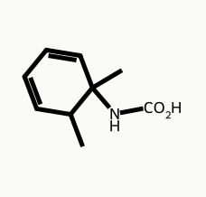 CC1C=CC=CC1(C)NC(=O)O